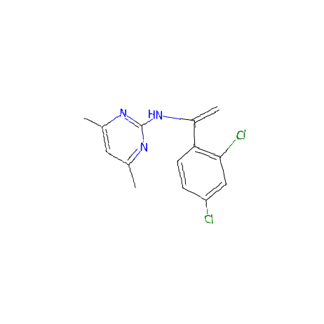 C=C(Nc1nc(C)cc(C)n1)c1ccc(Cl)cc1Cl